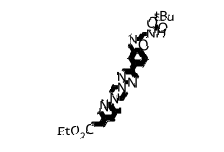 CCOC(=O)CCc1cnc(N2CCN(c3ncc(-c4cccc(CN(C)C(=O)CNC(=O)OC(C)(C)C)c4)cn3)CC2)c(C)c1